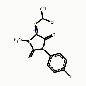 CN1C(=O)N(c2ccc(F)cc2)C(=O)/C1=N\C(Cl)C(Cl)(Cl)Cl